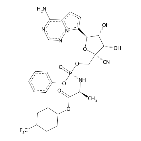 C[C@H](N[P@](=O)(OC[C@@]1(C#N)O[C@@H](c2ccc3c(N)ncnn23)[C@H](O)[C@@H]1O)Oc1ccccc1)C(=O)OC1CCC(C(F)(F)F)CC1